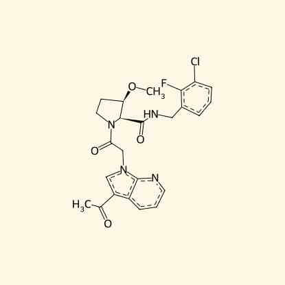 CO[C@@H]1CCN(C(=O)Cn2cc(C(C)=O)c3cccnc32)[C@@H]1C(=O)NCc1cccc(Cl)c1F